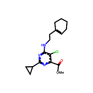 COC(=O)c1nc(C2CC2)nc(NCCC2=CCCCC2)c1Cl